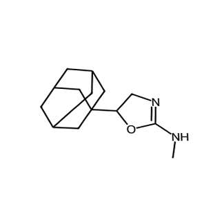 CNC1=NCC(C23CC4CC(CC(C4)C2)C3)O1